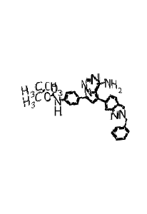 CC(C)(C)OC(=O)Nc1ccc(-c2cc(-c3ccc4cn(Cc5ccccc5)nc4c3)c3c(N)ncnn23)cc1